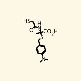 CN(C)c1ccc(CSC(C)(NC(=O)CS)C(=O)O)cc1